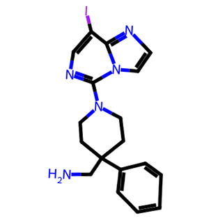 NCC1(c2ccccc2)CCN(c2ncc(I)c3nccn23)CC1